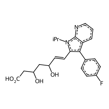 CC(C)n1c(C=CC(O)CC(O)CC(=O)O)c(-c2ccc(F)cc2)c2cccnc21